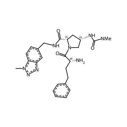 CNC(=O)N[C@H]1C[C@@H](C(=O)NCc2ccc3c(c2)nnn3C)N(C(=O)[C@H](N)CCc2ccccc2)C1